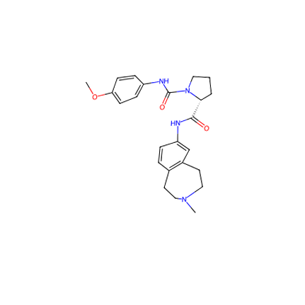 COc1ccc(NC(=O)N2CCC[C@@H]2C(=O)Nc2ccc3c(c2)CCN(C)CC3)cc1